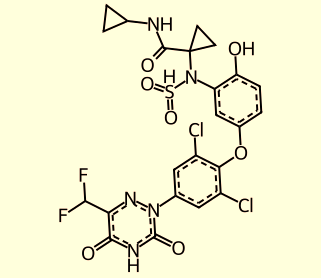 O=C(NC1CC1)C1(N(c2cc(Oc3c(Cl)cc(-n4nc(C(F)F)c(=O)[nH]c4=O)cc3Cl)ccc2O)[SH](=O)=O)CC1